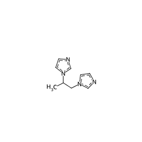 CC(Cn1ccnc1)n1ccnc1